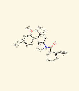 COc1ccccc1C(=O)N1CCc2c1cc(C)c([C@H](OC(C)(C)C)C(=O)O)c2-c1ccc(C)cc1